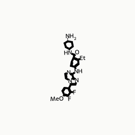 CCc1cc(Nc2nccn3c(-c4ccc(OC)c(F)c4F)cnc23)ccc1C(=O)N[C@H]1CC[C@@H](N)CC1